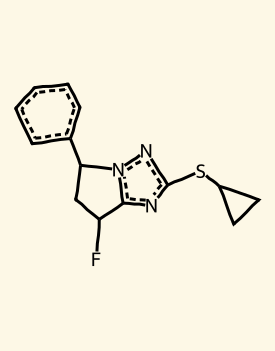 FC1CC(c2ccccc2)n2nc(SC3CC3)nc21